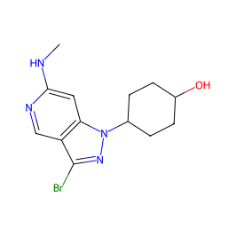 CNc1cc2c(cn1)c(Br)nn2C1CCC(O)CC1